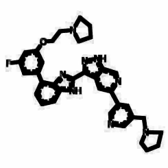 Fc1cc(OCCN2CCCC2)cc(-c2cccc3[nH]c(-c4n[nH]c5cnc(-c6cncc(CN7CCCC7)c6)cc45)nc23)c1